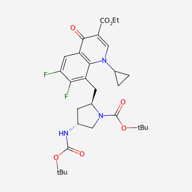 CCOC(=O)c1cn(C2CC2)c2c(C[C@@H]3C[C@@H](NC(=O)OC(C)(C)C)CN3C(=O)OC(C)(C)C)c(F)c(F)cc2c1=O